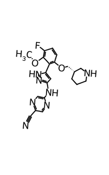 COc1c(F)ccc(OC[C@H]2CCCNC2)c1-c1cc(Nc2cnc(C#N)cn2)n[nH]1